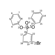 O=P(Oc1ccccc1)(Oc1ccccc1)c1cccc(Br)c1